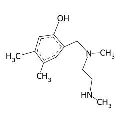 CNCCN(C)Cc1cc(C)c(C)cc1O